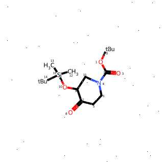 CC(C)(C)OC(=O)N1CCC(=O)C(O[Si](C)(C)C(C)(C)C)C1